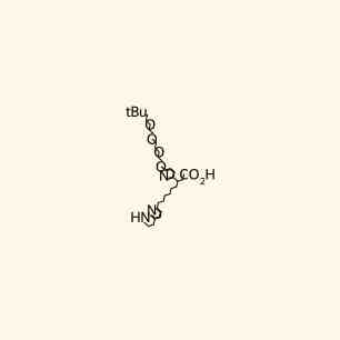 CC(C)(C)CCOCCOCCOCCOc1ccc(C(CCCCCCc2ccc3c(n2)NCCC3)CC(=O)O)cn1